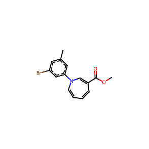 COC(=O)C1=CN(c2cc(C)cc(Br)c2)C=CC=C1